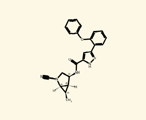 C[C@@H]1[C@H]2[C@@H]1N(C#N)C[C@H]2NC(=O)c1cc(-c2ccccc2Oc2ccccc2)n[nH]1